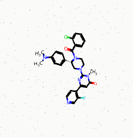 CN(C)c1ccc([C@H]2CN(c3nc(-c4ccncc4F)cc(=O)n3C)CCN2C(=O)c2ccccc2Cl)cc1